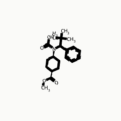 COC(=O)[C@H]1CC[C@@H](N(C(=O)O)C(c2ccccc2)C(C)(C)C)CC1